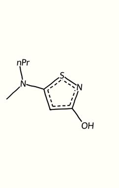 CCCN(C)c1cc(O)ns1